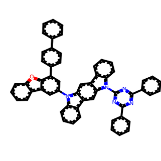 c1ccc(-c2ccc(-c3cc(-n4c5ccccc5c5cc6c(cc54)c4ccccc4n6-c4nc(-c5ccccc5)nc(-c5ccccc5)n4)cc4c3oc3ccccc34)cc2)cc1